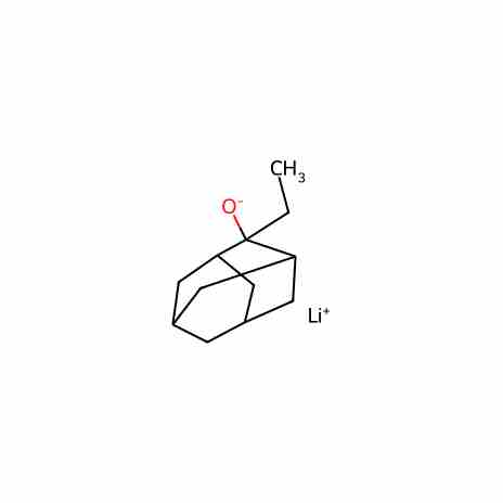 CCC1([O-])C2CC3CC(C2)CC1C3.[Li+]